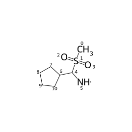 CS(=O)(=O)C([NH])C1CCCC1